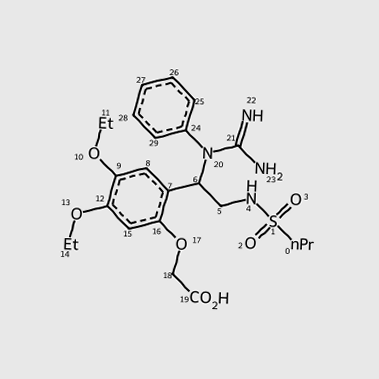 CCCS(=O)(=O)NCC(c1cc(OCC)c(OCC)cc1OCC(=O)O)N(C(=N)N)c1ccccc1